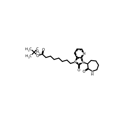 CC(C)(C)OC(=O)CCCCCCCn1c(=O)n(C2CCCCNC2=O)c2ncccc21